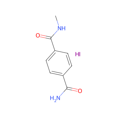 CNC(=O)c1ccc(C(N)=O)cc1.I